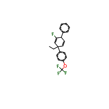 CCC1(c2ccc(OC(F)(F)F)cc2)C=CC(c2ccccc2)C(F)=C1